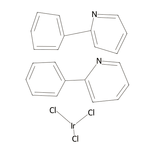 [Cl][Ir]([Cl])[Cl].c1ccc(-c2ccccn2)cc1.c1ccc(-c2ccccn2)cc1